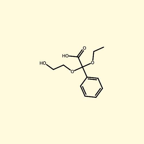 CCOC(OCCO)(C(=O)O)c1ccccc1